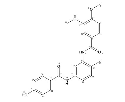 COc1ccc(C(=O)Nc2cc(NC(=O)c3ccc(O)cc3)ccc2C)cc1OC